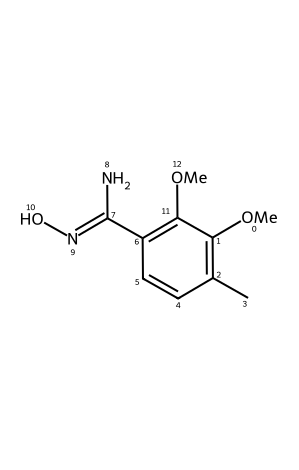 COc1c(C)ccc(C(N)=NO)c1OC